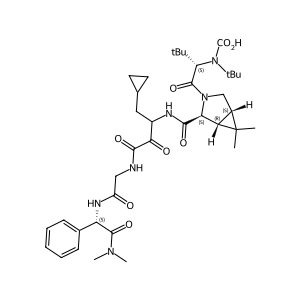 CN(C)C(=O)[C@@H](NC(=O)CNC(=O)C(=O)C(CC1CC1)NC(=O)[C@@H]1[C@@H]2[C@H](CN1C(=O)[C@@H](N(C(=O)O)C(C)(C)C)C(C)(C)C)C2(C)C)c1ccccc1